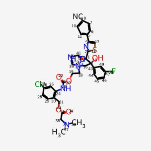 C[C@@H](c1nc(-c2ccc(C#N)cc2)cs1)[C@](O)(C[N+]1(CCOC(=O)Nc2cc(Cl)ccc2COC(=O)CN(C)C)C=NC=N1)c1cccc(F)c1